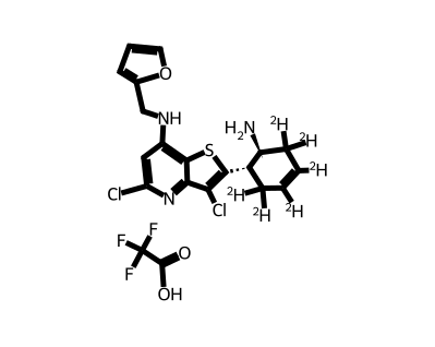 O=C(O)C(F)(F)F.[2H]C1=C([2H])C([2H])([2H])[C@H](c2sc3c(NCc4ccco4)cc(Cl)nc3c2Cl)[C@@H](N)C1([2H])[2H]